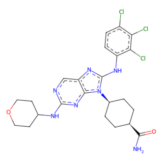 NC(=O)[C@H]1CC[C@@H](n2c(Nc3ccc(Cl)c(Cl)c3Cl)nc3cnc(NC4CCOCC4)nc32)CC1